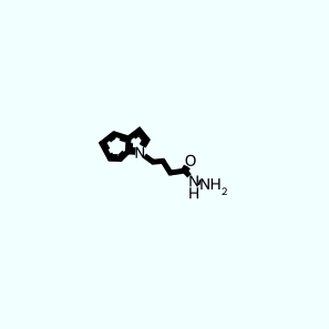 NNC(=O)CCCn1ccc2ccccc21